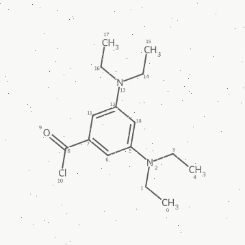 CCN(CC)c1cc(C(=O)Cl)cc(N(CC)CC)c1